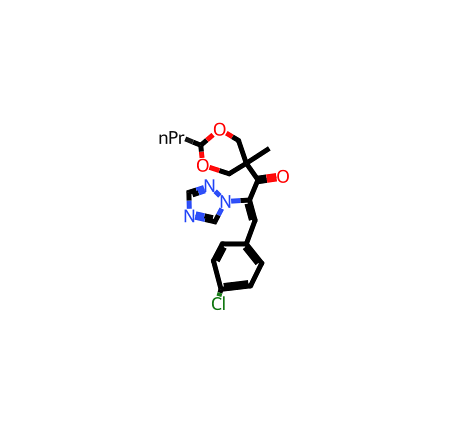 CCCC1OCC(C)(C(=O)C(=Cc2ccc(Cl)cc2)n2cncn2)CO1